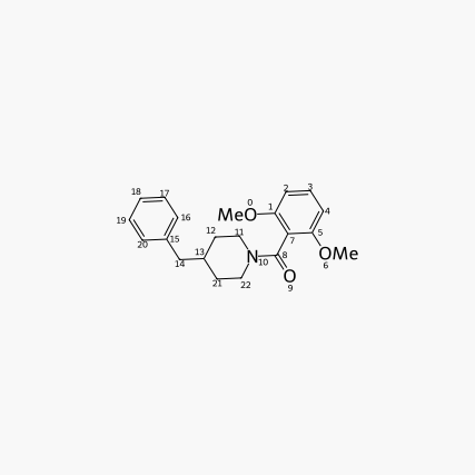 COc1cccc(OC)c1C(=O)N1CCC(Cc2ccccc2)CC1